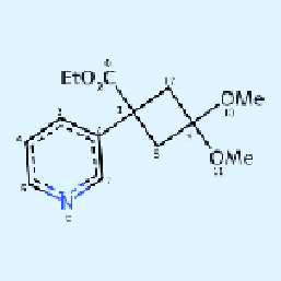 CCOC(=O)C1(c2cccnc2)CC(OC)(OC)C1